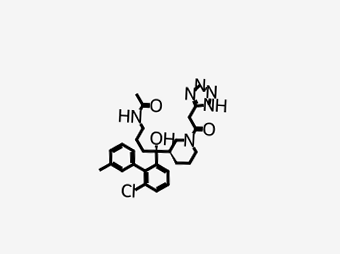 CC(=O)NCCC[C@@](O)(c1cccc(Cl)c1-c1cccc(C)c1)[C@@H]1CCCN(C(=O)Cc2nnn[nH]2)C1